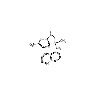 CC1(C)CNc2cc([N+](=O)[O-])ccc21.c1ccc2ncccc2c1